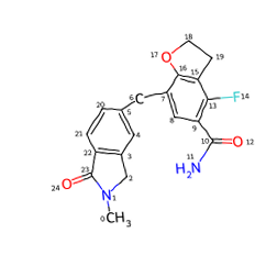 CN1Cc2cc(Cc3cc(C(N)=O)c(F)c4c3OCC4)ccc2C1=O